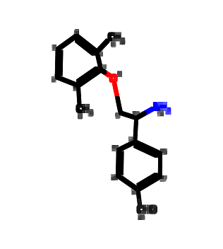 Cc1cccc(C)c1OCC(N)c1ccc(C=O)cc1